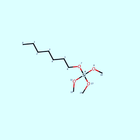 CCCCCCCO[Si](OC)(OC)OC